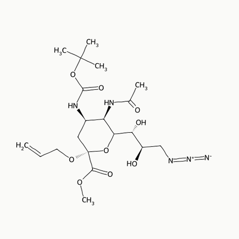 C=CCO[C@]1(C(=O)OC)C[C@@H](NC(=O)OC(C)(C)C)[C@@H](NC(C)=O)C([C@H](O)[C@H](O)CN=[N+]=[N-])O1